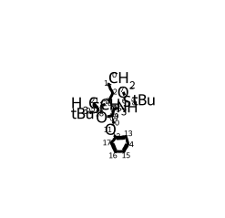 C=CCC[C@@H](N[S+]([O-])C(C)(C)C)[C@@H](COc1ccccc1)O[Si](C)(C)C(C)(C)C